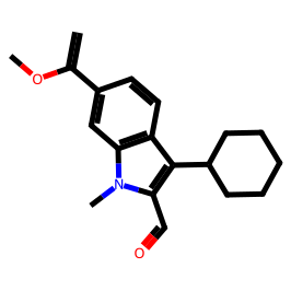 C=C(OC)c1ccc2c(C3CCCCC3)c(C=O)n(C)c2c1